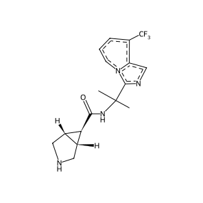 CC(C)(NC(=O)[C@H]1[C@@H]2CNC[C@@H]21)c1ncc2c(C(F)(F)F)cccn12